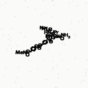 CNC(=O)OCc1ccc(OC(=O)OCc2ccc(NC(=O)[C@H](CCCNC(N)=O)NC(=O)[C@@H](NC(=O)CN=[N+]=[N-])C(C)C)cc2)cc1